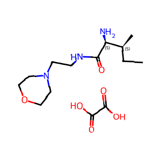 CC[C@H](C)[C@H](N)C(=O)NCCN1CCOCC1.O=C(O)C(=O)O